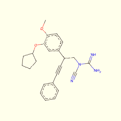 COc1ccc(C(C#Cc2ccccc2)CN(C#N)C(=N)N)cc1OC1CCCC1